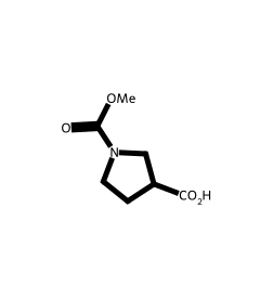 COC(=O)N1CCC(C(=O)O)C1